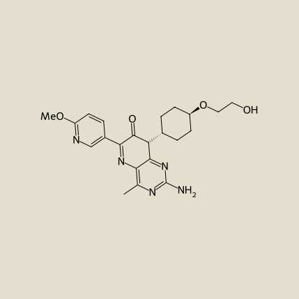 COc1ccc(C2=Nc3c(C)nc(N)nc3C([C@H]3CC[C@H](OCCO)CC3)C2=O)cn1